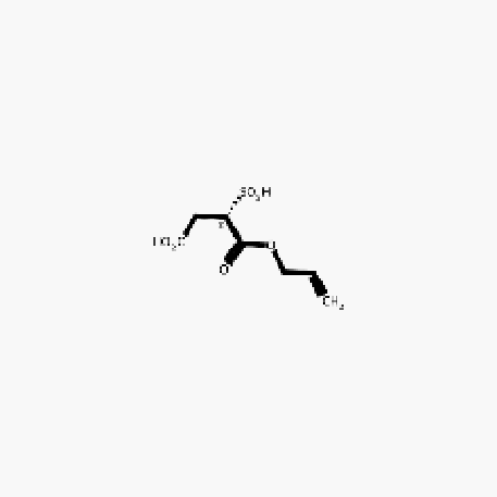 C=CCOC(=O)[C@H](CC(=O)O)S(=O)(=O)O